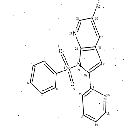 O=S(=O)(c1ccccc1)n1c(-c2ccccc2)cc2cc(Br)cnc21